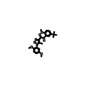 COc1ccc(OC)c(-n2nnc(C(=O)Nc3cc(C(C)(C)C)ccc3OC)c2C)c1